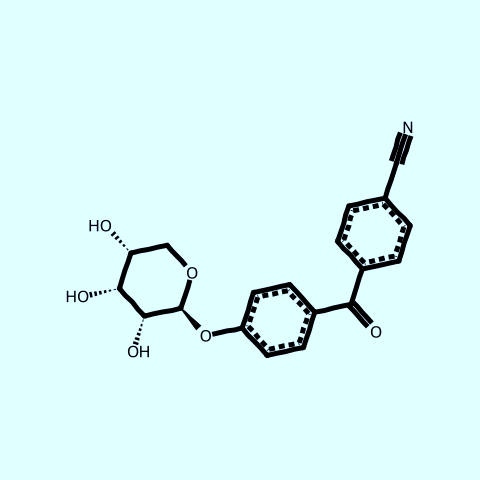 N#Cc1ccc(C(=O)c2ccc(O[C@@H]3OC[C@@H](O)[C@@H](O)[C@H]3O)cc2)cc1